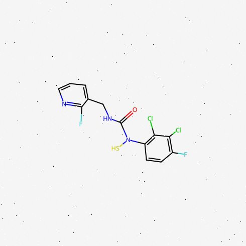 O=C(NCc1cccnc1F)N(S)c1ccc(F)c(Cl)c1Cl